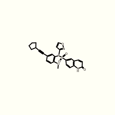 COc1ccc(C#CC2CCCC2)cc1N(c1ccon1)S(=O)(=O)c1ccc2[nH]c(=O)ccc2c1